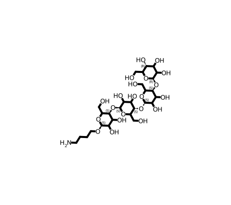 NCCCCO[C@H]1OC(CO)[C@@H](O[C@@H]2OC(CO)[C@@H](O[C@@H]3OC(CO)[C@@H](O[C@H]4OC(CO)[C@H](O)C(O)C4O)C(O)C3O)C(O)C2O)C(O)C1O